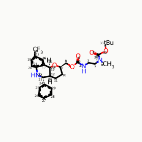 CN(CCNC(=O)OC[C@H]1CC[C@@H]2[C@H](O1)c1cc(C(F)(F)F)ccc1N[C@H]2c1ccccc1)C(=O)OC(C)(C)C